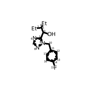 CCC(CC)C(O)c1ncnn1Cc1ccc(F)cc1